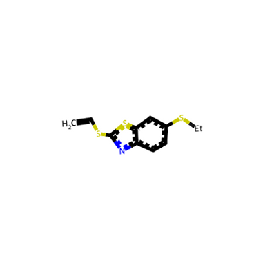 C=CSc1nc2ccc(SCC)cc2s1